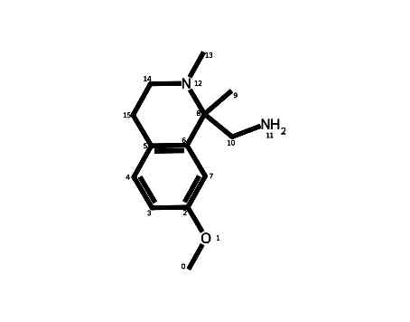 COc1ccc2c(c1)C(C)(CN)N(C)CC2